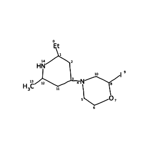 CCC1CC(N2CCOC(I)C2)CC(C)N1